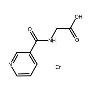 O=C(O)CNC(=O)c1cccnc1.[Cr]